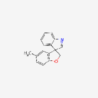 Cc1ccc2c(c1)C1(C=Nc3ccccc31)CO2